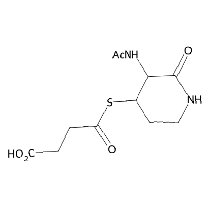 CC(=O)NC1C(=O)NCCC1SC(=O)CCC(=O)O